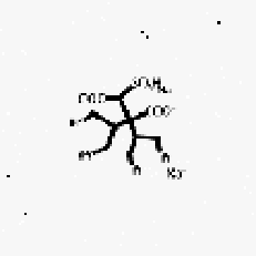 CC(C)CC(CC(C)C)C(C(=O)[O-])(C(CC(C)C)CC(C)C)C(C(=O)[O-])S(=O)(=O)O.[Na+].[Na+]